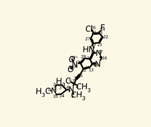 CN1CCC(N(C)C(C)(C)C#Cc2cc3ncnc(Nc4ccc(F)c(Cl)c4)c3cc2[N+](=O)[O-])CC1